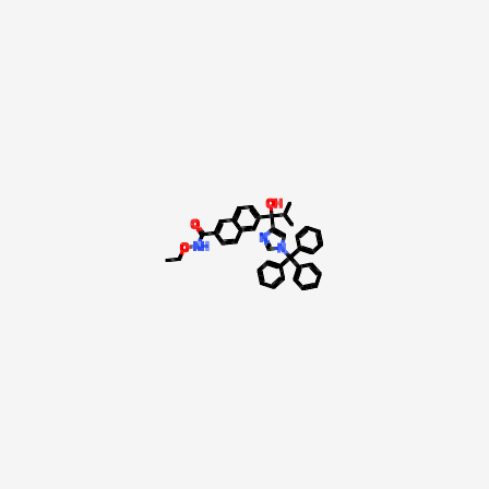 CCONC(=O)c1ccc2cc(C(O)(c3cn(C(c4ccccc4)(c4ccccc4)c4ccccc4)cn3)C(C)C)ccc2c1